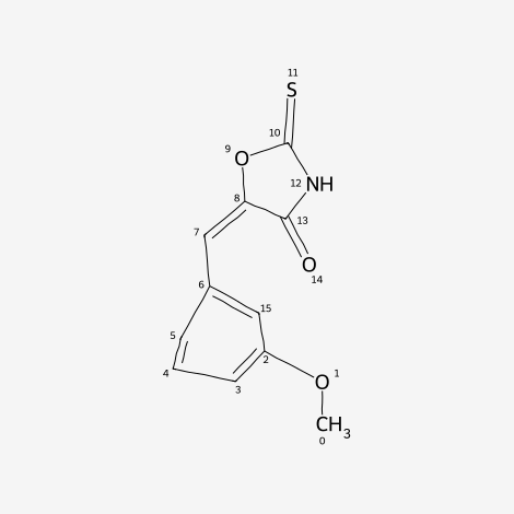 COc1cccc(C=C2OC(=S)NC2=O)c1